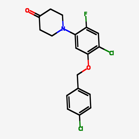 O=C1CCN(c2cc(OCc3ccc(Cl)cc3)c(Cl)cc2F)CC1